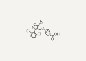 O=C(O)N1CC2CC1C[C@H]2OCc1c(-c2c(Cl)cccc2Cl)noc1C1CC1